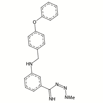 CN/N=N\C(=N)c1cccc(NCc2ccc(Oc3ccccc3)cc2)c1